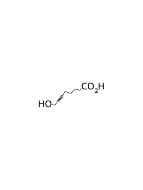 O=C(O)CCCCC#CCO